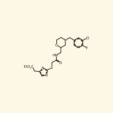 CCOC(=O)Cc1csc(SCC(=O)NCC2CN(Cc3ccc(F)c(Cl)c3)CCO2)n1